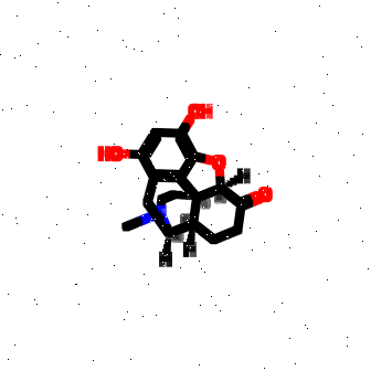 CN1CC[C@]23c4c5c(O)cc(O)c4O[C@H]2C(=O)CC[C@H]3[C@H]1C5